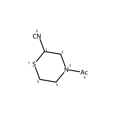 [C-]#[N+]C1CN(C(C)=O)CCS1